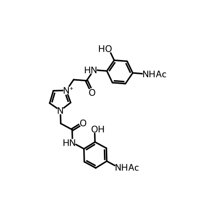 CC(=O)Nc1ccc(NC(=O)Cn2cc[n+](CC(=O)Nc3ccc(NC(C)=O)cc3O)c2)c(O)c1